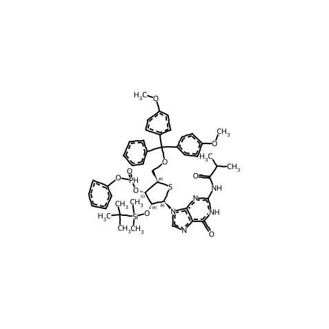 COc1ccc(C(OC[C@H]2S[C@@H](n3cnc4c(=O)[nH]c(NC(=O)C(C)C)nc43)[C@H](O[Si](C)(C)C(C)(C)C)[C@@H]2O[PH](=O)Oc2ccccc2)(c2ccccc2)c2ccc(OC)cc2)cc1